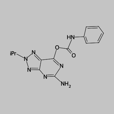 CC(C)n1nc2nc(N)nc(OC(=O)Nc3ccccc3)c2n1